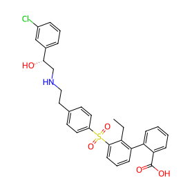 CCc1c(-c2ccccc2C(=O)O)cccc1S(=O)(=O)c1ccc(CCNC[C@H](O)c2cccc(Cl)c2)cc1